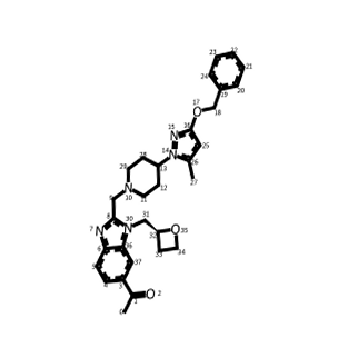 CC(=O)c1ccc2nc(CN3CCC(n4nc(OCc5ccccc5)cc4C)CC3)n(C[C@@H]3CCO3)c2c1